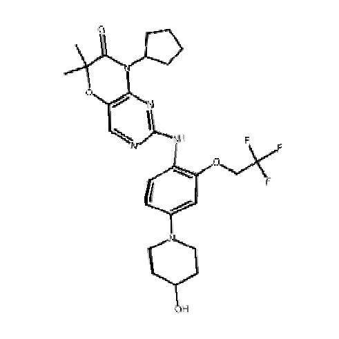 CC1(C)Oc2cnc(Nc3ccc(N4CCC(O)CC4)cc3OCC(F)(F)F)nc2N(C2CCCC2)C1=O